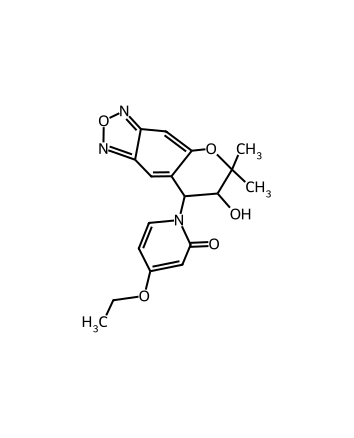 CCOc1ccn(C2c3cc4nonc4cc3OC(C)(C)C2O)c(=O)c1